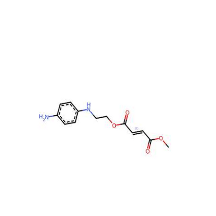 COC(=O)/C=C/C(=O)OCCNc1ccc(N)cc1